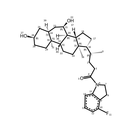 C[C@H](CCC(=O)N1CCc2c(F)cccc21)[C@H]1CC[C@H]2[C@@H]3[C@H](O)C[C@@H]4C[C@H](O)CC[C@]4(C)[C@H]3CC[C@]12C